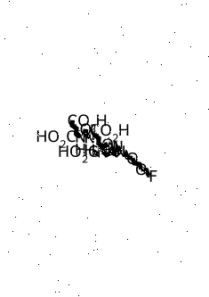 O=C(O)CC[C@H](NC(=O)N[C@@H](CCC(=O)N(CC(=O)O)Cc1cn(CCOCCOCCF)nn1)C(=O)O)C(=O)O